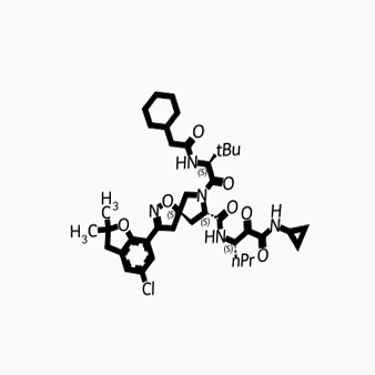 CCC[C@H](NC(=O)[C@@H]1C[C@]2(CC(c3cc(Cl)cc4c3OC(C)(C)C4)=NO2)CN1C(=O)[C@@H](NC(=O)CC1CCCCC1)C(C)(C)C)C(=O)C(=O)NC1CC1